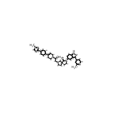 Cc1cc(-c2n[nH]c3ccc(N4CC[C@]5(CCN(CC(O)N6CC=C(c7ccc(-c8ncn(C)n8)cc7)CC6)C5)C4=O)cc23)ccn1